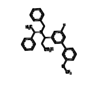 CC(c1ccccc1)N(Cc1ccccc1)C(CC(=O)O)c1cc(F)cc(-c2cccc(OC(F)(F)F)c2)c1